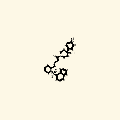 O=C(COCC1CCCCN1S(=O)(=O)c1cccc2ccccc12)N1CCC(O)(c2ccc(Cl)cc2)CC1